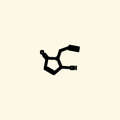 C#CCN1C(=O)C=CC1O